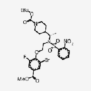 COC(=O)c1cc(F)c(OCCN([C@@H](C)C2CCN(C(=O)OC(C)(C)C)CC2)S(=O)(=O)c2ccccc2[N+](=O)[O-])c(Br)c1